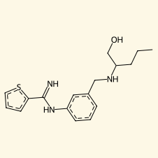 CCCC(CO)NCc1cccc(NC(=N)c2cccs2)c1